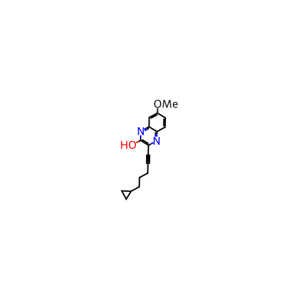 COc1ccc2nc(C#CCCCC3CC3)c(O)nc2c1